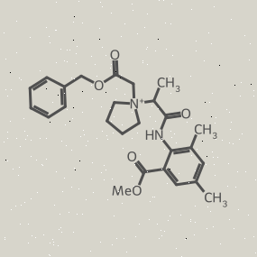 COC(=O)c1cc(C)cc(C)c1NC(=O)C(C)[N+]1(CC(=O)OCc2ccccc2)CCCC1